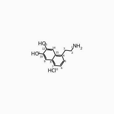 Cl.NCCc1cccc2cc(O)c(O)cc12